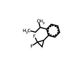 CCC(C)c1ccccc1C1CC1(F)F